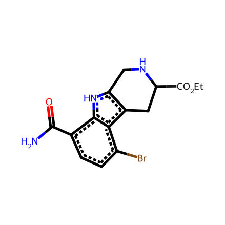 CCOC(=O)C1Cc2c([nH]c3c(C(N)=O)ccc(Br)c23)CN1